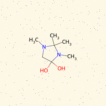 CN1CC(O)(O)N(C)C1(C)C